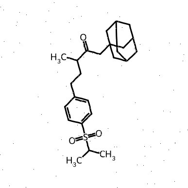 CC(CCc1ccc(S(=O)(=O)C(C)C)cc1)C(=O)CC12CC3CC(CC(C3)C1)C2